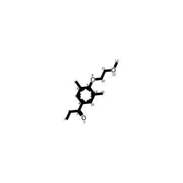 CCC(=O)c1cc(C)c(OCCOC)c(C)c1